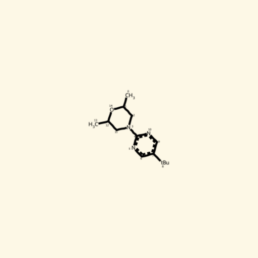 CC1CN(c2ncc(C(C)(C)C)cn2)CC(C)O1